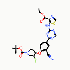 CCOC(=O)c1ncsc1Nc1ncnc(-c2ccc(OC3CCN(C(=O)OC(C)(C)C)CC3F)c(C#N)c2)n1